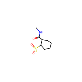 CNC(=O)C1CCCCC1[SH](=O)=O